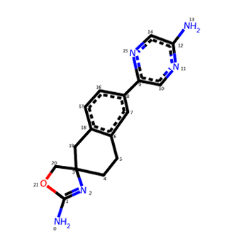 NC1=NC2(CCc3cc(-c4cnc(N)cn4)ccc3C2)CO1